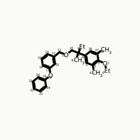 CCOc1c(C)cc(C(C)(CC)COCc2cccc(Oc3ccccc3)c2)cc1C